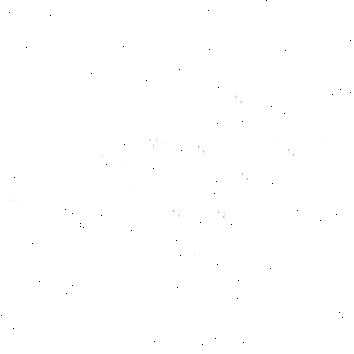 COC(=O)C1(Cc2nc(Cl)nc(N3CCN(C(=O)O)[C@@H](CC#N)C3)c2[N+](=O)[O-])CCCc2cc(C)ccc21